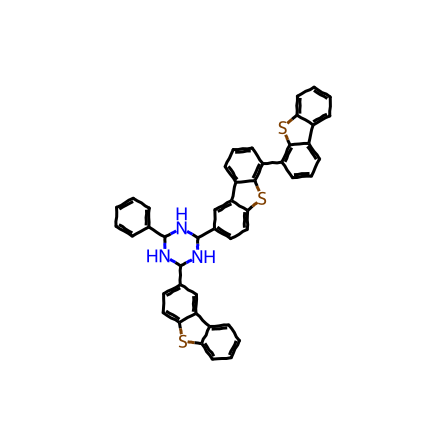 c1ccc(C2NC(c3ccc4sc5ccccc5c4c3)NC(c3ccc4sc5c(-c6cccc7c6sc6ccccc67)cccc5c4c3)N2)cc1